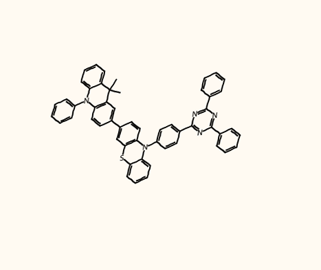 CC1(C)c2ccccc2N(c2ccccc2)c2ccc(-c3ccc4c(c3)Sc3ccccc3N4c3ccc(-c4nc(-c5ccccc5)nc(-c5ccccc5)n4)cc3)cc21